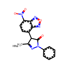 CC1=NN(c2ccccc2)C(=O)C1c1ccc([N+](=O)[O-])c2nonc12.[NaH]